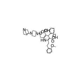 COc1ccccc1CCC1=C(C(=O)O)C(c2c(Cl)cccc2Cl)C(C(=O)O)=C(CC(=O)N2CCN(C3CN4CCC3CC4)CC2)N1